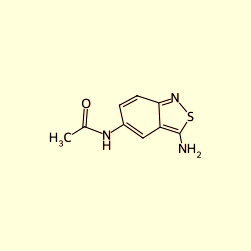 CC(=O)Nc1ccc2nsc(N)c2c1